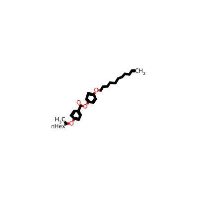 C=CCCCCCCCCCOc1ccc(OC(=O)c2ccc(OC(C)CCCCCC)cc2)cc1